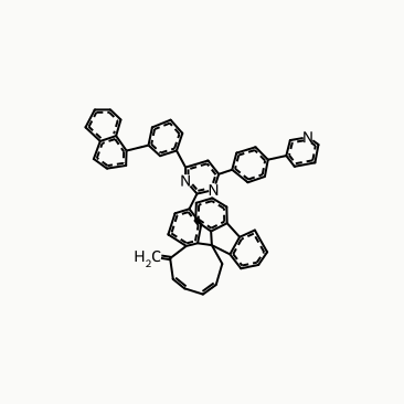 C=C1/C=C\C=C/CC2(c3cc(-c4nc(-c5ccc(-c6cccnc6)cc5)cc(-c5cccc(-c6cccc7ccccc67)c5)n4)ccc31)c1ccccc1-c1ccccc12